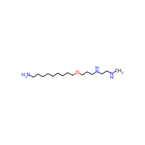 CNCCNCCCOCCCCCCCCCN